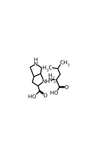 CC(C)C[C@H](N)C(=O)O.O=C(O)C1CC2CNCC2N1